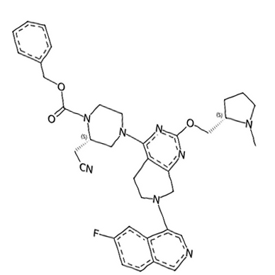 CN1CCC[C@H]1COc1nc2c(c(N3CCN(C(=O)OCc4ccccc4)[C@@H](CC#N)C3)n1)CCN(c1cncc3ccc(F)cc13)C2